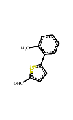 Cc1ccccc1-c1ccc(C=O)s1